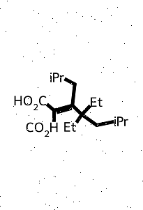 CCC(CC)(CC(C)C)C(CC(C)C)=C(C(=O)O)C(=O)O